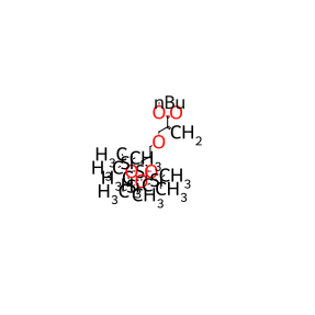 C=C(COCCC[Si](O[Si](C)(C)C)(O[Si](C)(C)C)O[Si](C)(C)C)C(=O)OCCCC